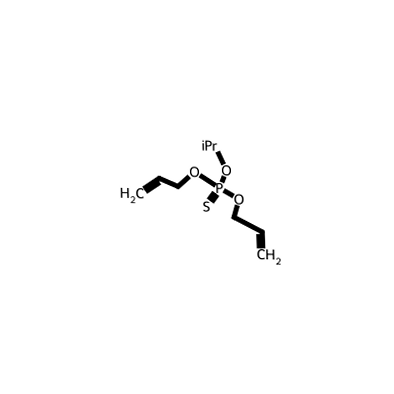 C=CCOP(=S)(OCC=C)OC(C)C